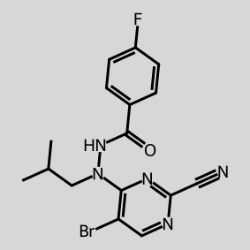 CC(C)CN(NC(=O)c1ccc(F)cc1)c1nc(C#N)ncc1Br